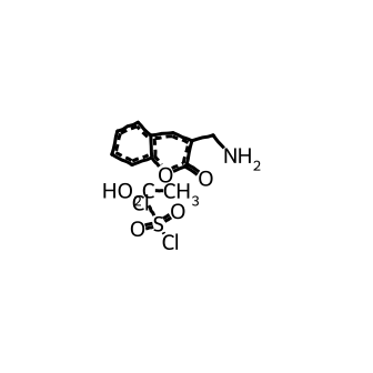 CC(=O)O.NCc1cc2ccccc2oc1=O.O=S(=O)(Cl)Cl